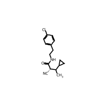 CC(C1CC1)[C@H](C#N)C(=O)NCCc1ccc(Cl)cc1